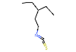 CCC(CC)CCN=C=S